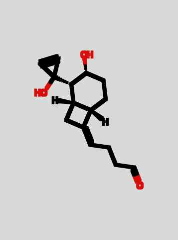 O=CCC/C=C1/C[C@@H]2[C@H](C3(O)C#C3)[C@H](O)CC[C@H]12